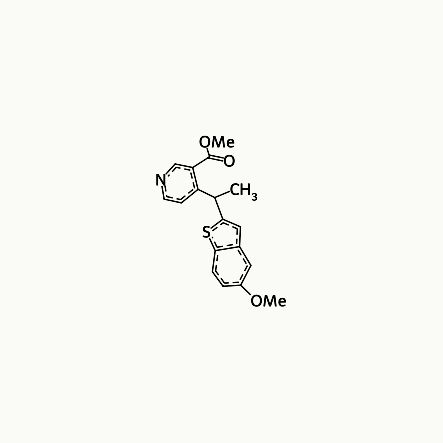 COC(=O)c1cnccc1C(C)c1cc2cc(OC)ccc2s1